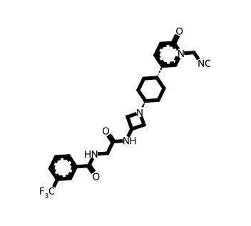 [C-]#[N+]Cn1cc([C@H]2CC[C@@H](N3CC(NC(=O)CNC(=O)c4cccc(C(F)(F)F)c4)C3)CC2)ccc1=O